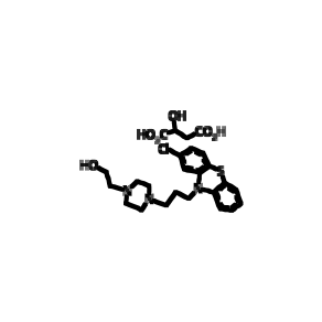 O=C(O)CC(O)C(=O)O.OCCN1CCN(CCCN2c3ccccc3Sc3ccc(Cl)cc32)CC1